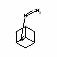 C=NC1=C2C3CC(C1)CC2C3